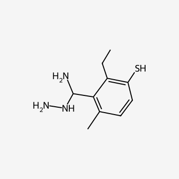 CCc1c(S)ccc(C)c1C(N)NN